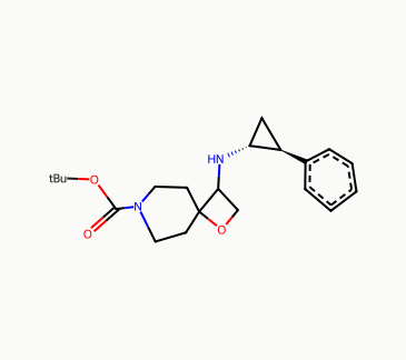 CC(C)(C)OC(=O)N1CCC2(CC1)OCC2N[C@@H]1C[C@H]1c1ccccc1